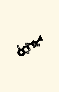 O=C(Cc1c(F)cccc1Cl)Nc1cc(C2CC2)[nH]n1